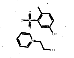 Cc1ccc(O)cc1S(=O)(=O)[O-].OCC[n+]1ccccc1